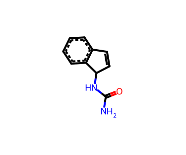 NC(=O)NC1C=Cc2ccccc21